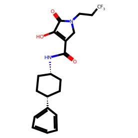 O=C(N[C@H]1CC[C@@H](c2ccccc2)CC1)C1=C(O)C(=O)N(CCC(F)(F)F)C1